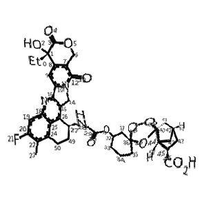 CC[C@@]1(O)C(=O)OCc2c1cc1n(c2=O)Cc2c-1nc1cc(F)c(C)c3c1c2[C@@H](NC(=O)OC1CCCC2(C1)OO[C@]1(C[C@H]4C[C@@H]1[C@H](C(=O)O)C4)O2)CC3